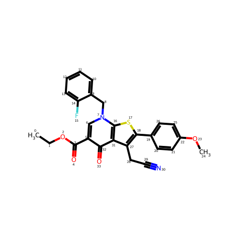 CCOC(=O)c1cn(Cc2ccccc2F)c2sc(-c3ccc(OC)cc3)c(CC#N)c2c1=O